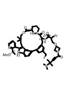 CCn1c(-c2cccnc2[C@H](C)OC)c2c3cc(ccc31)-c1cc(CF)cc(c1)C[C@@](NC(=O)C(COC1CN(C(=O)C#CC(C)(C)N(C)C)C1)C(C)C)(SC)C(=O)N1CCC[C@@](S)(N1)C(=O)OCC(C)(C)C2